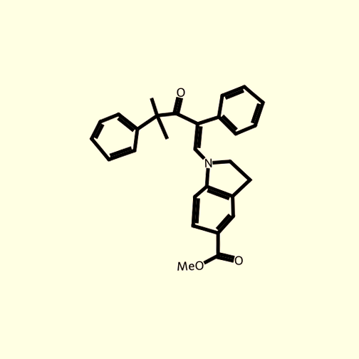 COC(=O)c1ccc2c(c1)CCN2/C=C(/C(=O)C(C)(C)c1ccccc1)c1ccccc1